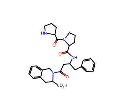 O=C(O)C1Cc2ccccc2CN1C(=O)CC(Cc1ccccc1)NC(=O)C1CCCN1C(=O)C1CCCN1